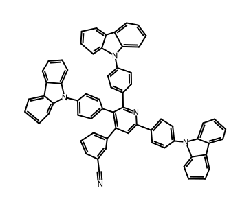 N#Cc1cccc(-c2cc(-c3ccc(-n4c5ccccc5c5ccccc54)cc3)nc(-c3ccc(-n4c5ccccc5c5ccccc54)cc3)c2-c2ccc(-n3c4ccccc4c4ccccc43)cc2)c1